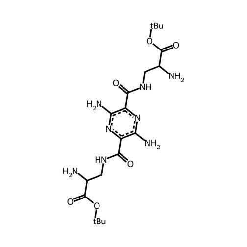 CC(C)(C)OC(=O)C(N)CNC(=O)c1nc(N)c(C(=O)NCC(N)C(=O)OC(C)(C)C)nc1N